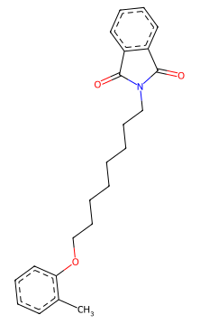 Cc1ccccc1OCCCCCCCCN1C(=O)c2ccccc2C1=O